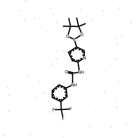 CC1(C)OB(c2ccc(NC(=O)Nc3cccc(C(F)(F)F)c3)nc2)OC1(C)C